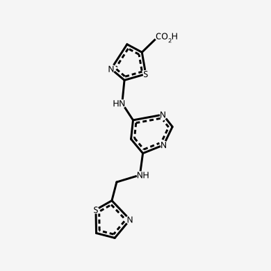 O=C(O)c1cnc(Nc2cc(NCc3nccs3)ncn2)s1